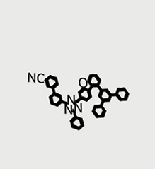 N#Cc1cccc(-c2cccc(-c3nc(-c4ccccc4)nc(-c4ccc5c(c4)oc4cccc(-c6cc(-c7ccccc7)cc(-c7ccccc7)c6)c45)n3)c2)c1